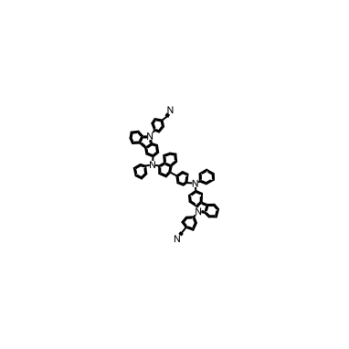 N#Cc1ccc(-n2c3ccccc3c3cc(N(c4ccccc4)c4ccc(-c5ccc(N(c6ccccc6)c6ccc7c(c6)c6ccccc6n7-c6ccc(C#N)cc6)c6ccccc56)cc4)ccc32)cc1